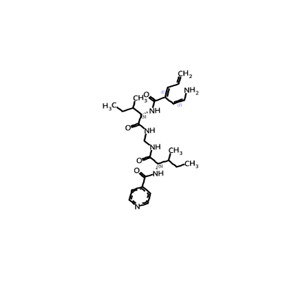 C=C/C=C(\C=C/N)C(=O)N[C@H](C(=O)NCNC(=O)[C@@H](NC(=O)c1ccncc1)C(C)CC)C(C)CC